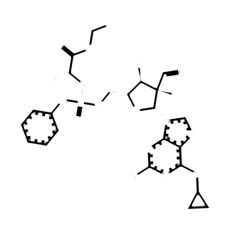 C=C[C@@]1(F)[C@H](O)[C@@H](CO[P@](=O)(N[C@H](C)C(=O)OCC)Oc2ccccc2)O[C@H]1n1cnc2c(NC3CC3)nc(N)nc21